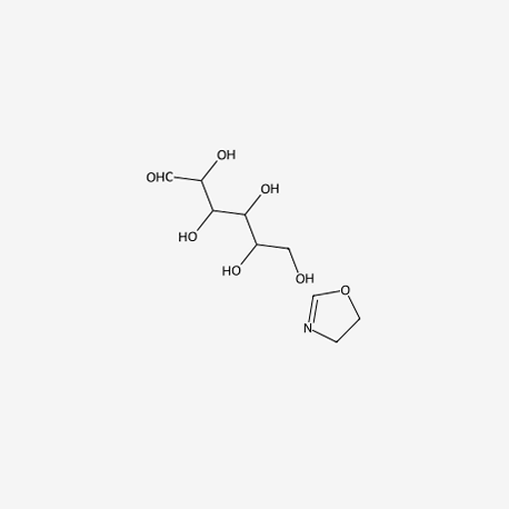 C1=NCCO1.O=CC(O)C(O)C(O)C(O)CO